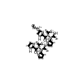 O=C(c1ncc[nH]1)N(C(=S)[S-])N(C(=S)S)c1ccc[nH]1.O=C(c1ncc[nH]1)N(C(=S)[S-])N(C(=S)S)c1ccc[nH]1.[O]=[Mo+2]=[O]